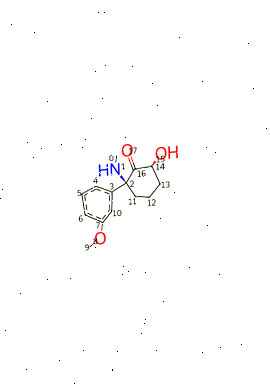 CN[C@]1(c2cccc(OC)c2)CCC[C@H](O)C1=O